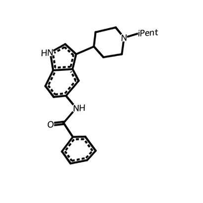 CCCC(C)N1CCC(c2c[nH]c3ccc(NC(=O)c4ccccc4)cc23)CC1